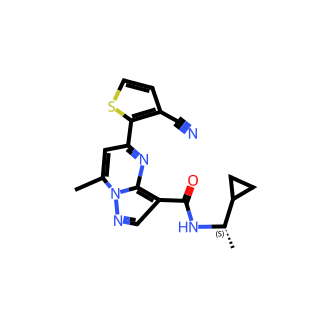 Cc1cc(-c2sccc2C#N)nc2c(C(=O)N[C@@H](C)C3CC3)cnn12